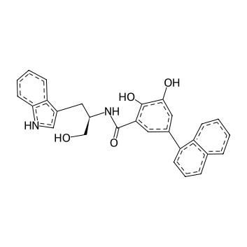 O=C(N[C@@H](CO)Cc1c[nH]c2ccccc12)c1cc(-c2cccc3ccccc23)cc(O)c1O